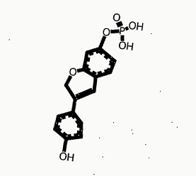 O=P(O)(O)Oc1ccc2c(c1)OCC(c1ccc(O)cc1)=C2